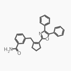 NC(=O)c1cccc(CC2=C(c3nc(-c4ccccc4)c(-c4ccccc4)o3)CCC2)c1